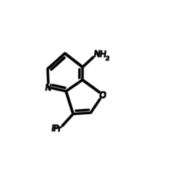 CC(C)c1coc2c(N)ccnc12